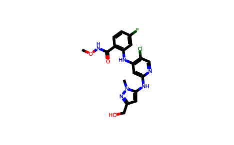 CONC(=O)c1ccc(F)cc1Nc1cc(Nc2cc(CO)nn2C)ncc1Cl